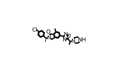 Cc1cc(-c2noc(C(C)N3CCNCC3)n2)cc2c1C(=O)N([C@@H](C)c1ccc(Cl)cc1)C2